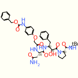 CC(C)(C)NC(=O)[C@@H]1CCCN1C(=O)[C@@H](O)[C@H](Cc1ccccc1)NC(=O)[C@H](CC(N)=O)NC(=O)COc1ccc(NC(=O)OCc2ccccc2)cc1